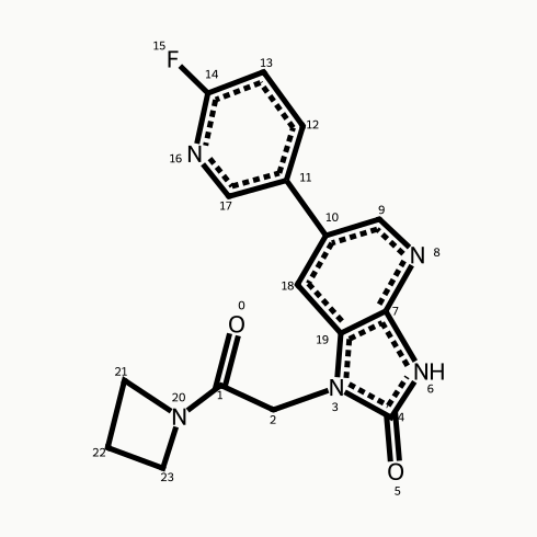 O=C(Cn1c(=O)[nH]c2ncc(-c3ccc(F)nc3)cc21)N1CCC1